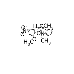 CCN1c2ccccc2C(C)(C)C12C=Cc1cc([N+](=O)[O-])cc(OC)c1O2